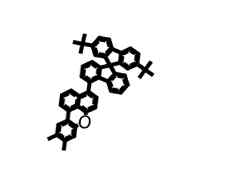 Cc1cc2c(cc1C)-c1cccc3c(-c4cccc5c4-c4ccccc4C54c5cc(C(C)(C)C)ccc5-c5ccc(C(C)(C)C)cc54)ccc(c13)O2